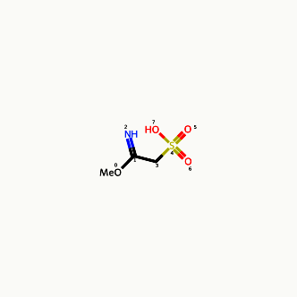 COC(=N)CS(=O)(=O)O